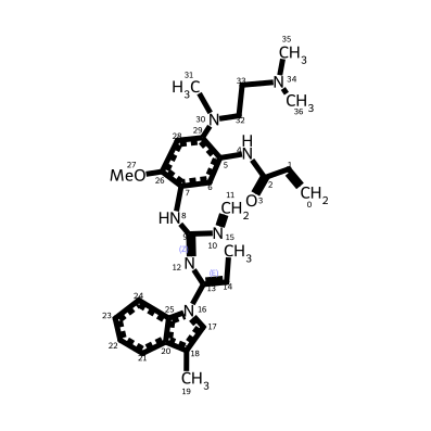 C=CC(=O)Nc1cc(N/C(N=C)=N/C(=C\C)n2cc(C)c3ccccc32)c(OC)cc1N(C)CCN(C)C